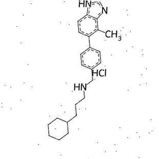 Cc1c(-c2ccc(CNCCCC3CCCCC3)cc2)ccc2[nH]cnc12.Cl